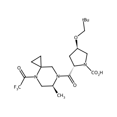 C[C@H]1CN(C(=O)C(F)(F)F)C2(CC2)CN1C(=O)[C@@H]1C[C@@H](OCC(C)(C)C)CN1C(=O)O